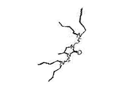 CCCCN(CCCC)SN1CC(C)N(SN(CCCC)CCCC)C1=O